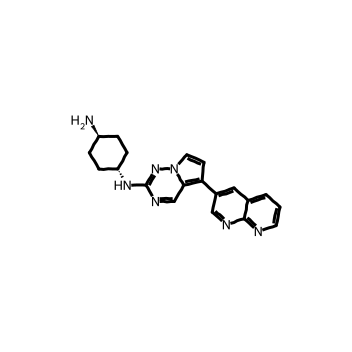 N[C@H]1CC[C@H](Nc2ncc3c(-c4cnc5ncccc5c4)ccn3n2)CC1